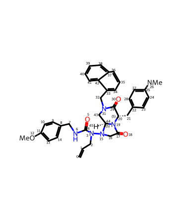 C=CCN(C(=O)NCc1ccc(OC)cc1)N1CC(=O)N2[C@@H](Cc3ccc(NC)cc3)C(=O)N(Cc3cccc4ccccc34)C[C@@H]21